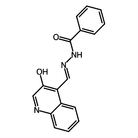 O=C(N/N=C/c1c(O)cnc2ccccc12)c1ccccc1